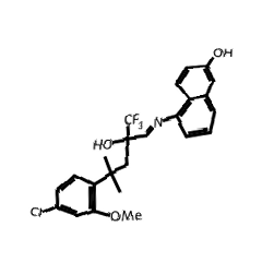 COc1cc(Cl)ccc1C(C)(C)CC(O)(C=Nc1cccc2cc(O)ccc12)C(F)(F)F